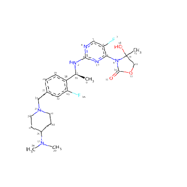 C[C@H](Nc1ncc(F)c(N2C(=O)OCC2(C)O)n1)c1ccc(CN2CCC(N(C)C)CC2)cc1F